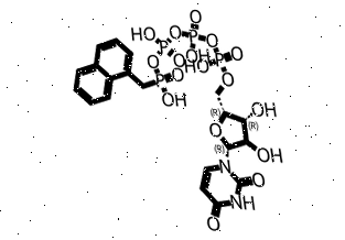 O=c1ccn([C@@H]2O[C@H](COP(=O)(O)OP(=O)(O)OP(=O)(O)OP(=O)(O)Cc3cccc4ccccc34)[C@H](O)C2O)c(=O)[nH]1